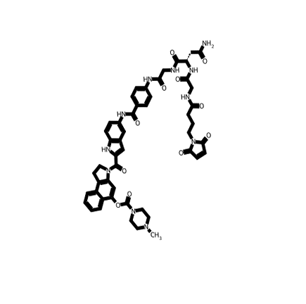 CN1CCN(C(=O)Oc2cc3c(c4ccccc24)CCN3C(=O)c2cc3cc(NC(=O)c4ccc(NC(=O)CNC(=O)[C@H](CC(N)=O)NC(=O)CNC(=O)CCCN5C(=O)C=CC5=O)cc4)ccc3[nH]2)CC1